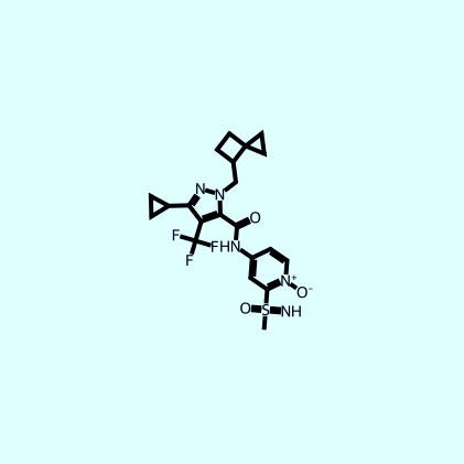 CS(=N)(=O)c1cc(NC(=O)c2c(C(F)(F)F)c(C3CC3)nn2CC2CCC23CC3)cc[n+]1[O-]